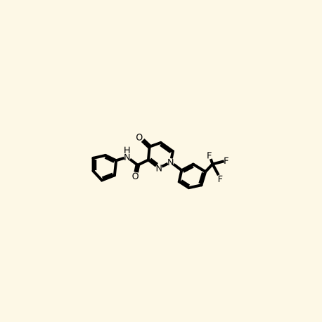 O=C(Nc1ccccc1)c1nn(-c2cccc(C(F)(F)F)c2)ccc1=O